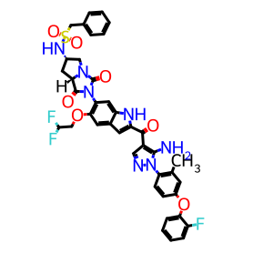 Cc1cc(Oc2ccccc2F)ccc1-n1ncc(C(=O)c2cc3cc(OCC(F)F)c(N4C(=O)[C@@H]5C[C@H](NS(=O)(=O)Cc6ccccc6)CN5C4=O)cc3[nH]2)c1N